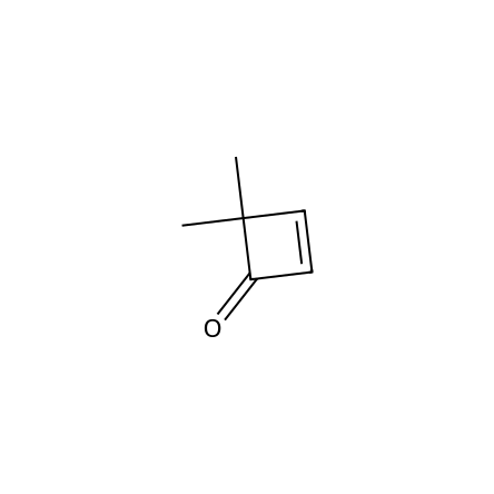 CC1(C)C=CC1=O